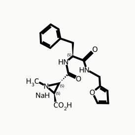 CN1[C@H](C(=O)O)[C@H]1C(=O)N[C@@H](Cc1ccccc1)C(=O)NCc1ccco1.[NaH]